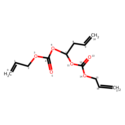 C=CCOC(=O)OC(CC=C)OC(=O)OCC=C